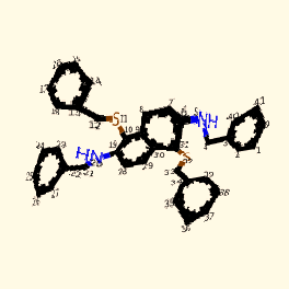 c1ccc(CNc2ccc3c(SCc4ccccc4)c(NCc4ccccc4)ccc3c2SCc2ccccc2)cc1